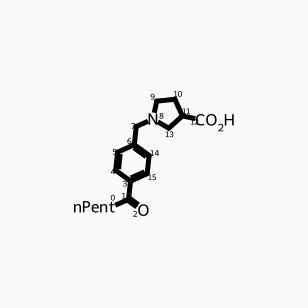 CCCCCC(=O)c1ccc(CN2CCC(C(=O)O)C2)cc1